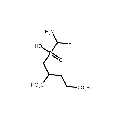 CCC(N)P(=O)(O)CC(CCC(=O)O)C(=O)O